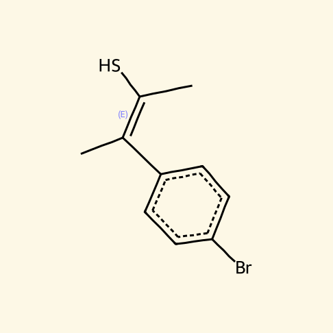 C/C(S)=C(/C)c1ccc(Br)cc1